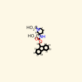 O=C(NC1(C(=O)O)CCCN(C(=O)O)C1)OCC1c2ccccc2-c2ccccc21